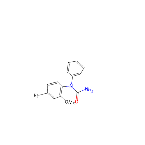 [CH2]Cc1ccc(N(C(N)=O)c2ccccc2)c(OC)c1